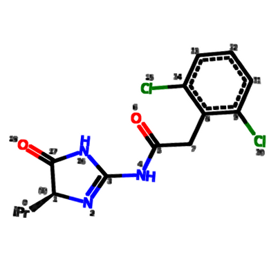 CC(C)[C@@H]1N=C(NC(=O)Cc2c(Cl)cccc2Cl)NC1=O